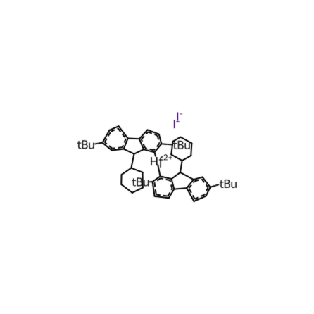 CC(C)(C)c1ccc2c(c1)C(C1CCCCC1)c1c-2ccc(C(C)(C)C)[c]1[Hf+2][c]1c(C(C)(C)C)ccc2c1C(C1CCCCC1)c1cc(C(C)(C)C)ccc1-2.[I-].[I-]